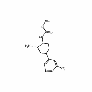 CC(C)(C)OC(=O)N[C@H]1CCC(c2cccc(C(F)(F)F)c2)C[C@@H]1N